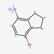 Nc1ccc(Br)c2c1CCC2